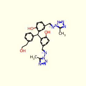 Cc1nnnn1/N=C/c1ccc(O)c(C(c2cccc(CCO)c2)c2cc(/C=N/n3nnnc3C)ccc2O)c1